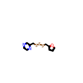 c1coc(CSSSCc2cnccn2)c1